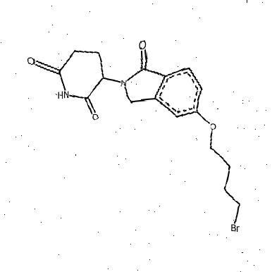 O=C1CCC(N2Cc3cc(OCCCCBr)ccc3C2=O)C(=O)N1